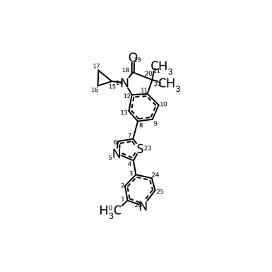 Cc1cc(-c2ncc(-c3ccc4c(c3)N(C3CC3)C(=O)C4(C)C)s2)ccn1